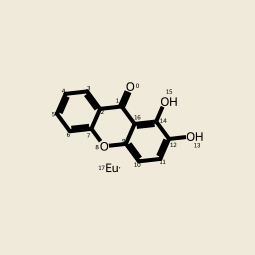 O=c1c2ccccc2oc2ccc(O)c(O)c12.[Eu]